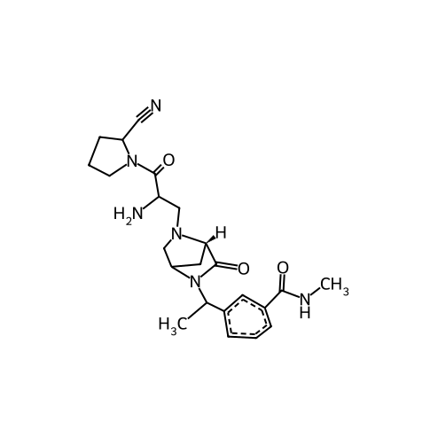 CNC(=O)c1cccc(C(C)N2C(=O)[C@@H]3CC2CN3CC(N)C(=O)N2CCCC2C#N)c1